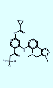 [2H]C([2H])([2H])CC(=O)c1cnc(NC(=O)C2CC2)cc1Nc1nccc2c1N(C)Cc1c-2nnn1C